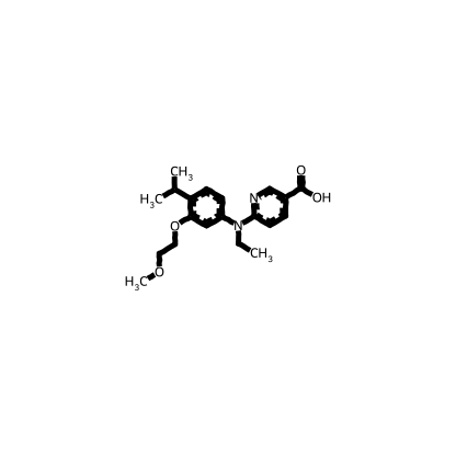 CCN(c1ccc(C(C)C)c(OCCOC)c1)c1ccc(C(=O)O)cn1